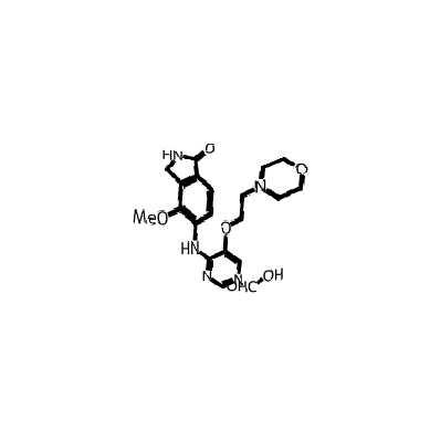 COc1c(Nc2ncncc2OCCN2CCOCC2)ccc2c1CNC2=O.O=CO